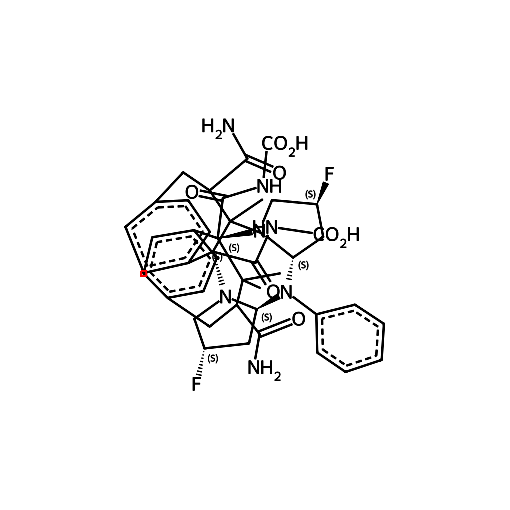 CC1(C)C(C(N)=O)Cc2ccc(cc2)[C@@]1(C(=O)NC(=O)O)N1C[C@@H](F)C[C@@H]1N(c1ccccc1)[C@H]1C[C@H](F)CN1[C@]1(C(=O)NC(=O)O)c2ccc(cc2)CC(C(N)=O)C1(C)C